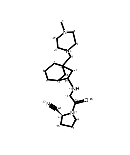 CN1CCN(CC23CCCC(C2)C(NCC(=O)N2CCC[C@H]2C#N)C3)CC1